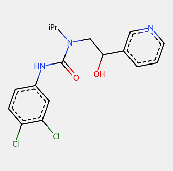 CC(C)N(CC(O)c1cccnc1)C(=O)Nc1ccc(Cl)c(Cl)c1